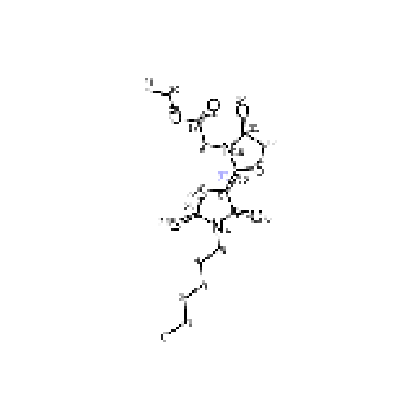 CCCCCCN1C(=O)/C(=C2\SCC(=O)N2CC(=O)OCC)SC1=S